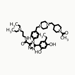 CCc1cc(-c2nnc(C(=O)NCCN(CC)CC)n2-c2ccc(CN3CCN(CC4CCN(C(C)=O)CC4)CC3)cc2)c(O)cc1O